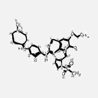 CCOc1cc2cnc(Nc3ccc(NC4CCN(C)CC4)cc3)nc2n(Cc2cccn2S(C)(=O)=O)c1=O